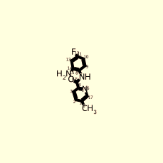 Cc1ccc(C(=O)Nc2ccc(F)cc2N)nc1